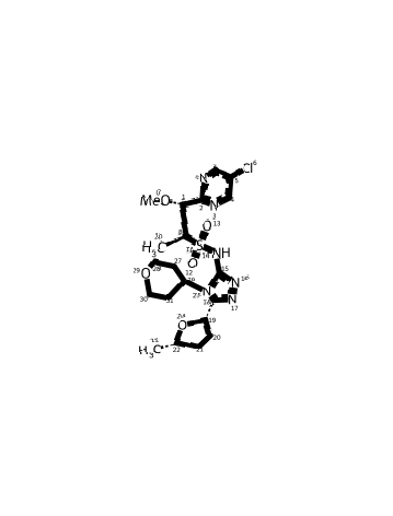 CO[C@H](c1ncc(Cl)cn1)[C@H](C)S(=O)(=O)Nc1nnc([C@@H]2CC[C@H](C)O2)n1C1CCOCC1